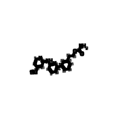 CC(C)(C)c1ccnc(Nc2cccc(-c3cccc(CCOC(N)=O)c3)n2)c1